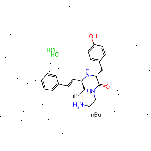 CCCC[C@H](N)CNC(=O)[C@H](Cc1ccc(O)cc1)N[C@H](/C=C/c1ccccc1)CC(C)C.Cl.Cl